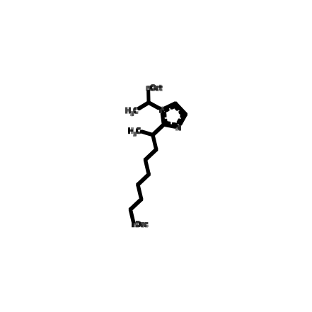 CCCCCCCCCCCCCCCCC(C)c1nccn1C(C)CCCCCCCC